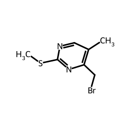 CSc1ncc(C)c(CBr)n1